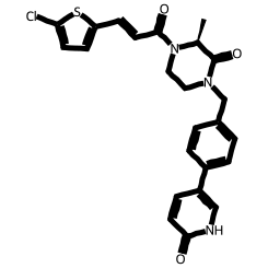 C[C@H]1C(=O)N(Cc2ccc(-c3ccc(=O)[nH]c3)cc2)CCN1C(=O)C=Cc1ccc(Cl)s1